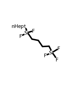 CCCCCCC[Si](F)(F)CCCC[Si](F)(F)F